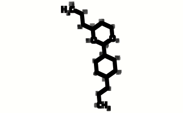 CCCC1CCC(C2OCCC(CCC)O2)CC1